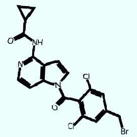 O=C(Nc1nccc2c1ccn2C(=O)c1c(Cl)cc(CBr)cc1Cl)C1CC1